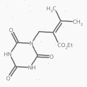 CCOC(=O)C(Cn1c(=O)[nH]c(=O)[nH]c1=O)=C(C)C